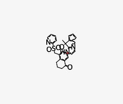 CC(Oc1ccc2c(c1CS(=O)(=O)c1ccccn1)CCCC2=O)(c1ncc[nH]1)c1cccs1